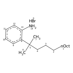 Br.CCCCCCCCCCCC(C)(C)c1ccccc1N